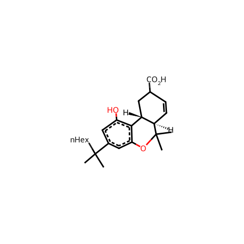 CCCCCCC(C)(C)c1cc(O)c2c(c1)OC(C)(C)[C@@H]1C=CC(C(=O)O)C[C@@H]21